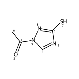 CC(=O)n1cnc(S)n1